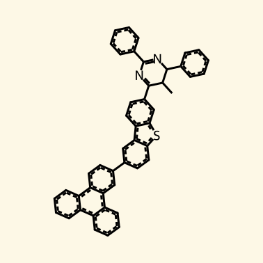 CC1C(c2ccc3c(c2)sc2ccc(-c4ccc5c6ccccc6c6ccccc6c5c4)cc23)=NC(c2ccccc2)=NC1c1ccccc1